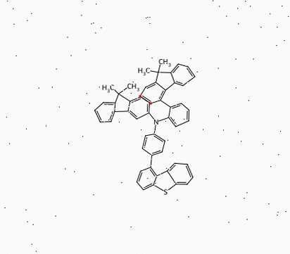 CC1(C)c2ccccc2-c2cc(N(c3ccc(-c4cccc5sc6ccccc6c45)cc3)c3ccccc3-c3cccc4c3-c3ccccc3C4(C)C)ccc21